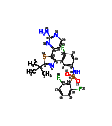 CC(C)(C)c1nc(-c2cc(NS(=O)(=O)c3c(F)cccc3F)ccc2F)c(-c2ccnc(N)n2)s1